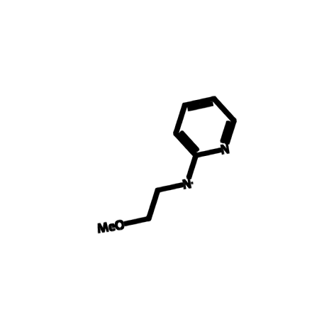 COCC[N]c1ccccn1